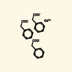 O=C([O-])Cc1ccccc1.O=C([O-])Cc1ccccc1.O=C([O-])Cc1ccccc1.[Gd+3]